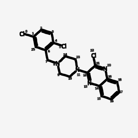 Clc1ccc(Cl)c(CN2CCN(c3nc4ccccc4nc3Cl)CC2)c1